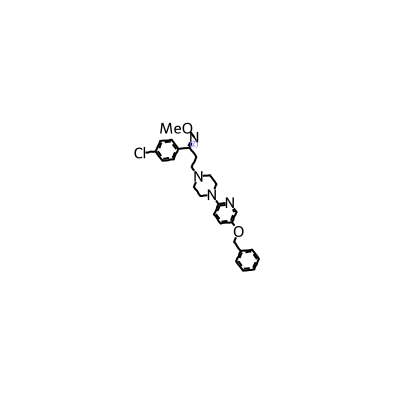 CO/N=C(/CCN1CCN(c2ccc(OCc3ccccc3)cn2)CC1)c1ccc(Cl)cc1